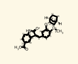 COc1ccc(/C=C2\C(=O)Nc3ccc(C(C)=O)cc32)cc1O[C@H]1C[C@@H]2CC[C@H]1C2